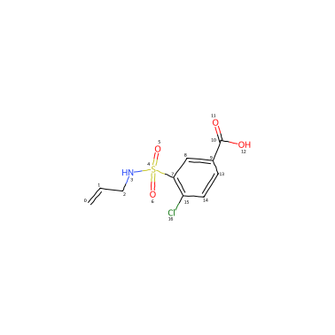 C=CCNS(=O)(=O)c1cc(C(=O)O)ccc1Cl